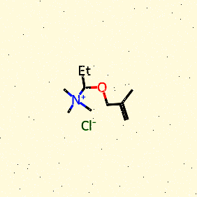 C=C(C)COC(CC)[N+](C)(C)C.[Cl-]